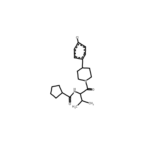 CC(C)C(NC(=O)C1CCCC1)C(=O)N1CCC(c2ccc(Cl)cc2)CC1